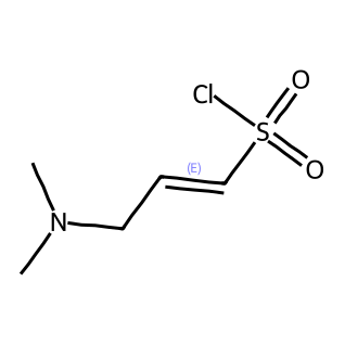 CN(C)C/C=C/S(=O)(=O)Cl